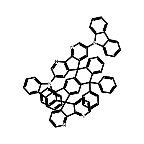 c1ccc(C2(c3ccccc3)c3ccccc3C3(c4cc5c(cc42)C2(c4ccccc4-5)c4cccnc4-c4ncccc42)c2cc(-n4c5ccccc5c5ccccc54)cnc2-c2ncc(-n4c5ccccc5c5ccccc54)cc23)cc1